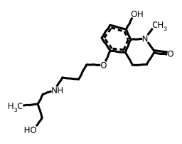 CC(CO)CNCCCOc1ccc(O)c2c1CCC(=O)N2C